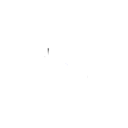 C[C@@H]1CCc2cc(C(=O)O)[nH]c21